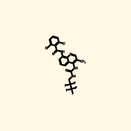 Cc1cnc2c(NC(=O)c3c(Cl)cccc3Cl)cccc2c1NC(=O)NCC(F)(F)C(F)(F)F